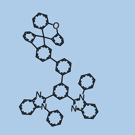 c1ccc(-n2c(-c3cc(-c4cccc(-c5ccc6c(c5)C5(c7ccccc7Oc7ccccc75)c5ccccc5-6)c4)cc(-c4nc5ccccc5n4-c4ccccc4)c3)nc3ccccc32)cc1